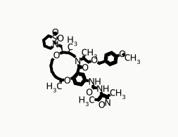 COc1ccc(COCC(C)N2C[C@@H](C)[C@H](CN3CCCCS3(=O)=O)OCCCCC(C)Oc3ccc(NC(=O)Nc4c(C)noc4C)cc3C2=O)cc1